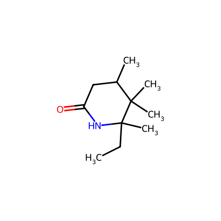 CCC1(C)NC(=O)CC(C)C1(C)C